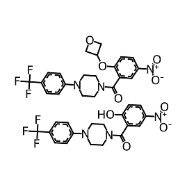 O=C(c1cc([N+](=O)[O-])ccc1O)N1CCN(c2ccc(C(F)(F)F)cc2)CC1.O=C(c1cc([N+](=O)[O-])ccc1OC1COC1)N1CCN(c2ccc(C(F)(F)F)cc2)CC1